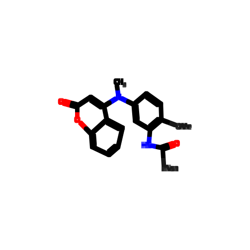 CCCCCCCCCC(=O)Nc1cc(N(C)c2cc(=O)oc3ccccc23)ccc1OC